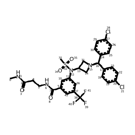 CNC(=O)CCNC(=O)c1cc(N(C2CN(C(c3ccc(Cl)cc3)c3ccc(Cl)cc3)C2)S(C)(=O)=O)cc(C(F)(F)F)c1